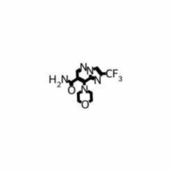 NC(=O)c1cnn2cc(C(F)(F)F)nc2c1N1CCOCC1